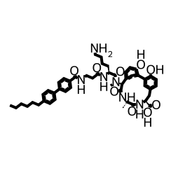 CCCCCCc1ccc(-c2ccc(C(=O)NCCC(=O)N[C@@H](CCCCN)C(=O)N(C)[C@@H]3C(=O)N[C@@H](C)C(=O)N[C@H](C(=O)O)Cc4ccc(O)c(c4)-c4cc3ccc4O)cc2)cc1